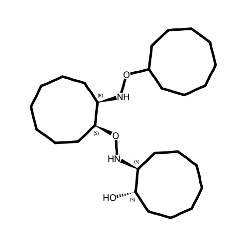 O[C@H]1CCCCCCC[C@@H]1NO[C@H]1CCCCCCC[C@H]1NOC1CCCCCCCC1